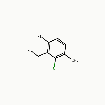 CCc1c[c]c(C)c(Cl)c1CC(C)C